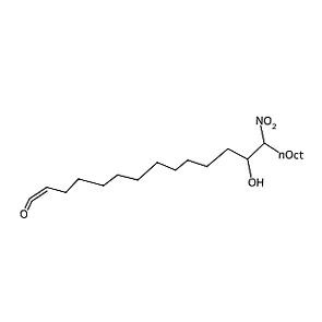 CCCCCCCCC(C(O)CCCCCCCCCCC=C=O)[N+](=O)[O-]